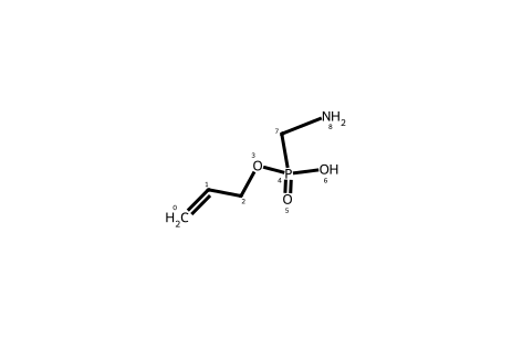 C=CCOP(=O)(O)CN